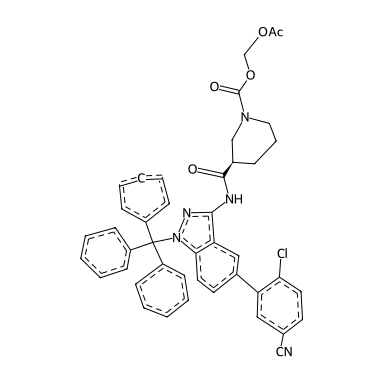 CC(=O)OCOC(=O)N1CCC[C@@H](C(=O)Nc2nn(C(c3ccccc3)(c3ccccc3)c3ccccc3)c3ccc(-c4cc(C#N)ccc4Cl)cc23)C1